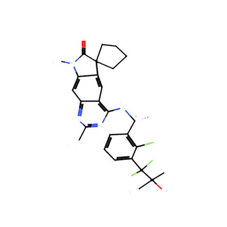 Cc1nc(N[C@H](C)c2cccc(C(F)(F)C(C)(C)O)c2F)c2cc3c(cc2n1)N(C)C(=O)C31CCCC1